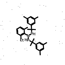 CCc1cccc(C)c1N(PC(C)(C)c1cc(C)cc(C)c1)PC(C)(C)c1cc(C)cc(C)c1